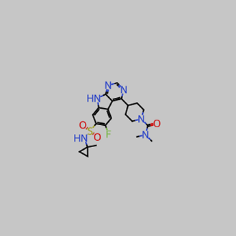 CN(C)C(=O)N1CCC(c2ncnc3[nH]c4cc(S(=O)(=O)NC5(C)CC5)c(F)cc4c23)CC1